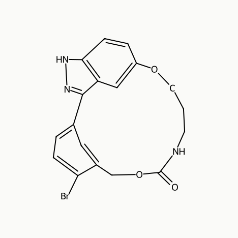 O=C1NCCCOc2ccc3[nH]nc(c3c2)-c2ccc(Br)c(c2)CO1